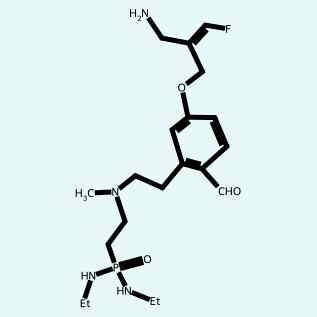 CCNP(=O)(CCN(C)CCc1cc(OC/C(=C\F)CN)ccc1C=O)NCC